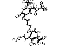 CCCc1c(OCCCOc2cc(NC(=O)C(=O)O)c(C(F)(F)F)cc2Cl)ccc(C(C)=O)c1O